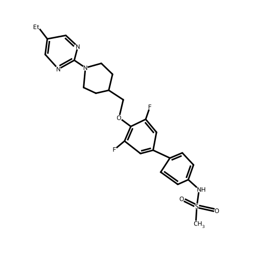 CCc1cnc(N2CCC(COc3c(F)cc(-c4ccc(NS(C)(=O)=O)cc4)cc3F)CC2)nc1